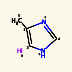 Cc1c[nH]cn1.I